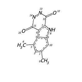 Cc1cc(C)c2c3c([nH]c2c1)C(=O)N=NC3=O